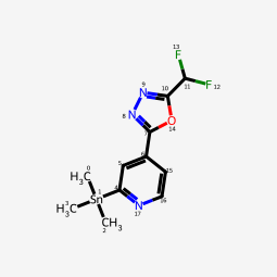 [CH3][Sn]([CH3])([CH3])[c]1cc(-c2nnc(C(F)F)o2)ccn1